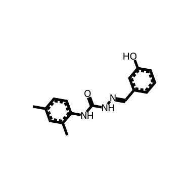 Cc1ccc(NC(=O)NN=Cc2cccc(O)c2)c(C)c1